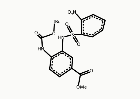 COC(=O)c1ccc(NC(=O)OC(C)(C)C)c(NS(=O)(=O)c2ccccc2[N+](=O)[O-])c1